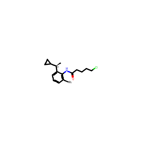 CC(C)c1cccc([C@H](C)C2CC2)c1NC(=O)CCCCCl